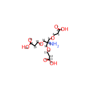 NC(COCCC(=O)O)(COCCC(=O)O)COCCC(=O)O